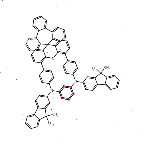 CC1(C)c2ccccc2-c2ccc(N(c3ccccc3)c3ccc(-c4cccc5c4Oc4c(-c6ccc(N(c7ccccc7)c7ccc8c(c7)C(C)(C)c7ccccc7-8)cc6)cccc4C54c5ccccc5-c5ccccc5-c5ccccc54)cc3)cc21